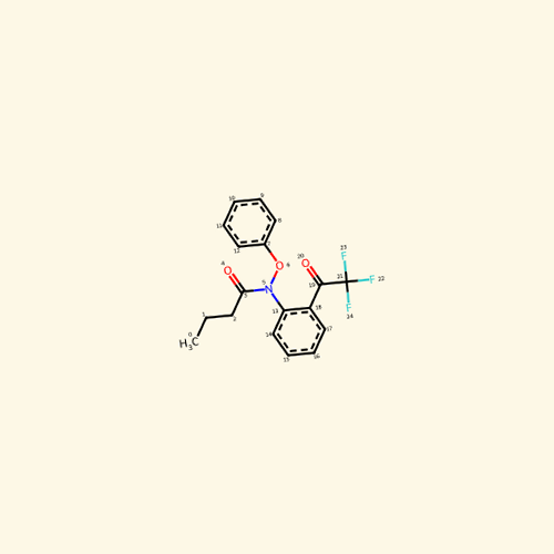 CCCC(=O)N(Oc1ccccc1)c1ccccc1C(=O)C(F)(F)F